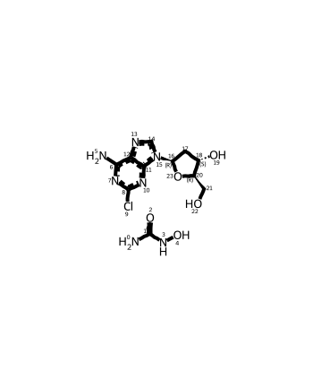 NC(=O)NO.Nc1nc(Cl)nc2c1ncn2[C@H]1C[C@H](O)[C@@H](CO)O1